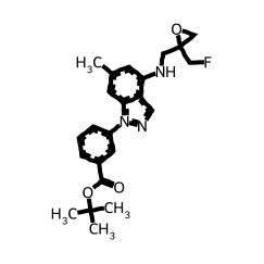 Cc1cc(NCC2(CF)CO2)c2cnn(-c3cccc(C(=O)OC(C)(C)C)c3)c2c1